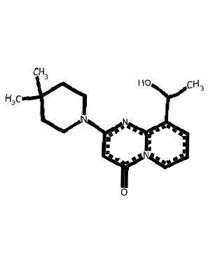 CC(O)c1cccn2c(=O)cc(N3CCC(C)(C)CC3)nc12